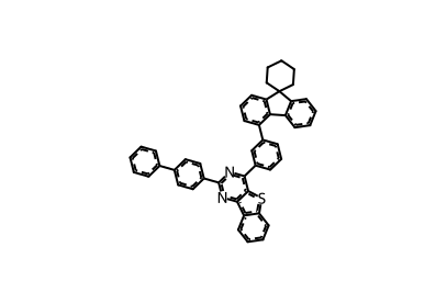 c1ccc(-c2ccc(-c3nc(-c4cccc(-c5cccc6c5-c5ccccc5C65CCCCC5)c4)c4sc5ccccc5c4n3)cc2)cc1